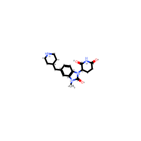 Cn1c(=O)n(C2CCC(=O)NC2=O)c2ccc(CC3CCNCC3)cc21